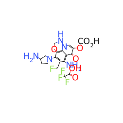 Nc1c(CF)c(N2CCC(N)C2)c2c3c1c(=O)c(OC(=O)O)cn3NCO2.O=C(O)C(F)(F)F